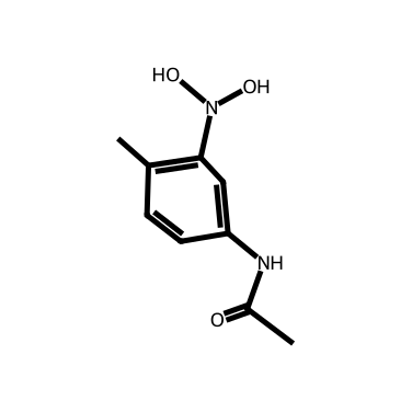 CC(=O)Nc1ccc(C)c(N(O)O)c1